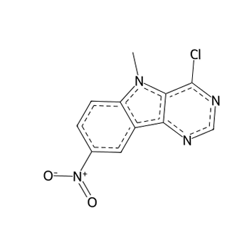 Cn1c2ccc([N+](=O)[O-])cc2c2ncnc(Cl)c21